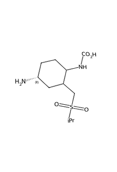 CC(C)S(=O)(=O)CC1C[C@H](N)CCC1NC(=O)O